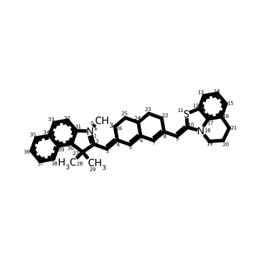 C[N+]1=C(/C=C2/C=C3C=C(/C=C4\Sc5cccc6c5N4CCC6)CCC3CC2)C(C)(C)c2c1ccc1ccccc21